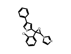 Clc1ccccc1C1(c2cc(-c3ccccc3)cs2)OC1n1ccnc1